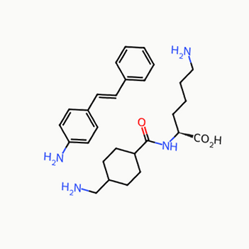 NCCCC[C@H](NC(=O)C1CCC(CN)CC1)C(=O)O.Nc1ccc(/C=C/c2ccccc2)cc1